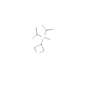 CC(C)[Si](C)(C(C)C)C1COC1